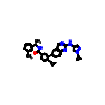 Cc1cccc([C@H](C)NC(=O)c2ccc(C3CC3)c(-c3ccc4nc(Nc5cnn(C6CC6)c5)ncc4c3)c2)c1